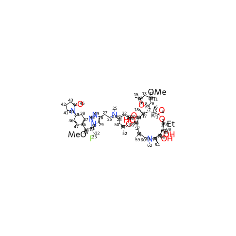 CC[C@H]1OC(=O)[C@H](C)C([C@H]2C[C@@](C)(OC)C[C@H](C)O2)[C@H](C)[C@@H](O[C@H]2C[C@@H](N(C)CCc3cn([C@H](CF)[C@H](OC)C4=CCC(N5CCCC5=O)C=C4)nn3)C[C@@H](C)O2)[C@](C)(O)C[C@@H](C)CN(C)[C@H](C)[C@@H](O)[C@]1(C)O